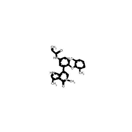 C=CC(=O)Nc1ccc(Oc2c(C)cccc2C)c(-c2cn(C)c(=O)c3c(C)c[nH]c23)c1